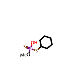 COP(O)(=S)SC1CCCCC1